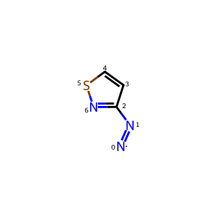 [N]=Nc1ccsn1